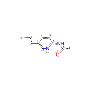 CCCc1ccc(NC(C)=O)nc1